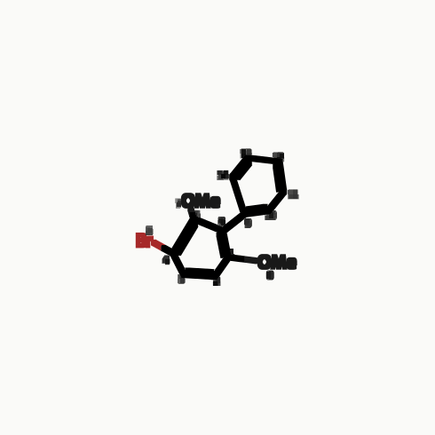 COc1ccc(Br)c(OC)c1-c1ccccc1